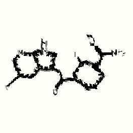 NC(=O)c1cccc(C(=O)c2c[nH]c3ncc(I)cc23)c1F